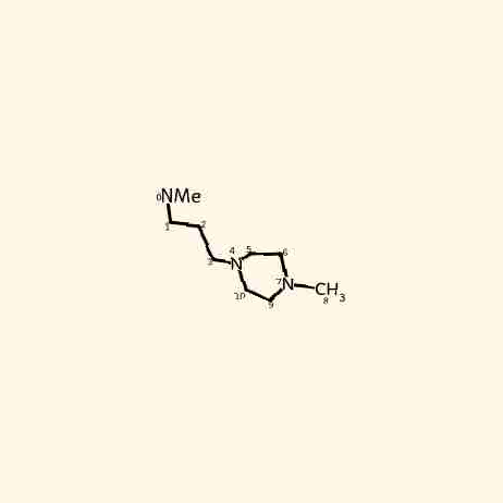 [CH2-][NH2+]CCCN1CCN(C)CC1